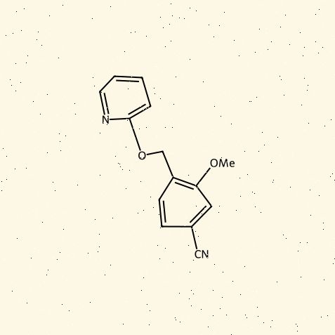 COc1cc(C#N)ccc1COc1ccccn1